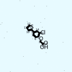 O=C(O)COc1ccc(-c2cccs2)cc1Cl